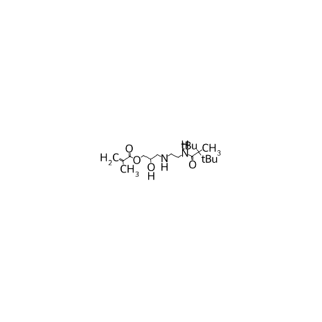 C=C(C)C(=O)OCC(O)CNCCNC(=O)C(C)(C(C)(C)C)C(C)(C)C